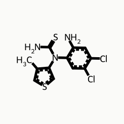 Cc1cscc1N(C(N)=S)c1cc(Cl)c(Cl)cc1N